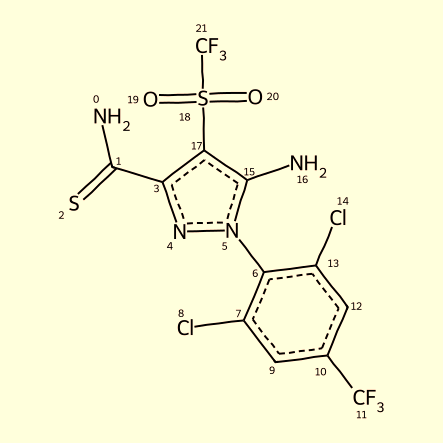 NC(=S)c1nn(-c2c(Cl)cc(C(F)(F)F)cc2Cl)c(N)c1S(=O)(=O)C(F)(F)F